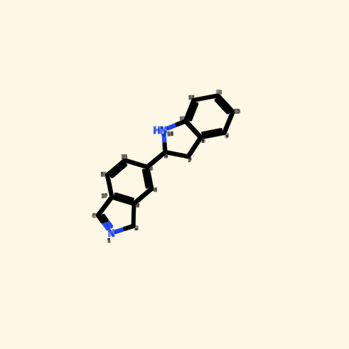 C1=NCc2cc(C3Cc4ccccc4N3)ccc21